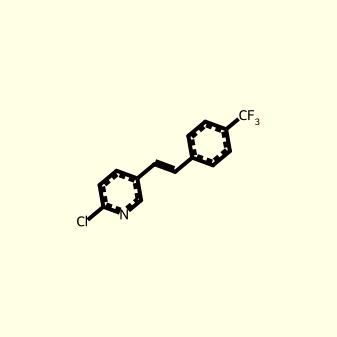 FC(F)(F)c1ccc(C=Cc2ccc(Cl)nc2)cc1